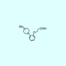 COCCOc1ccccc1N1CCN(C(C)(C)C)CC1